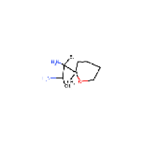 CCC(N)(C(C)N)[Si]1(C)CCCCO1